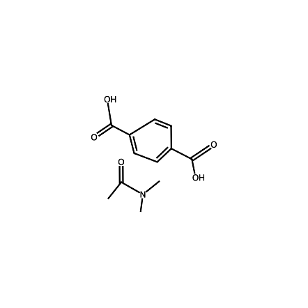 CC(=O)N(C)C.O=C(O)c1ccc(C(=O)O)cc1